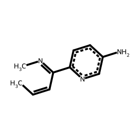 C/C=C\C(=N/C)c1ccc(N)cn1